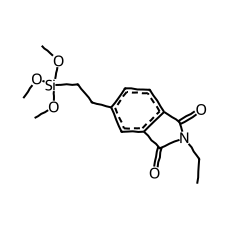 CCN1C(=O)c2ccc(CC[Si](OC)(OC)OC)cc2C1=O